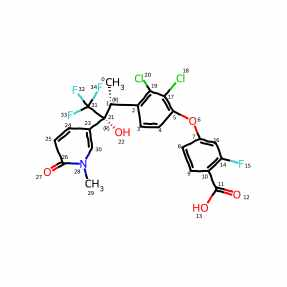 C[C@H](c1ccc(Oc2ccc(C(=O)O)c(F)c2)c(Cl)c1Cl)[C@@](O)(c1ccc(=O)n(C)c1)C(F)(F)F